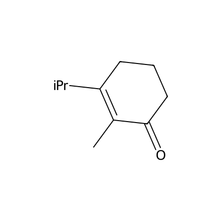 CC1=C(C(C)C)CCCC1=O